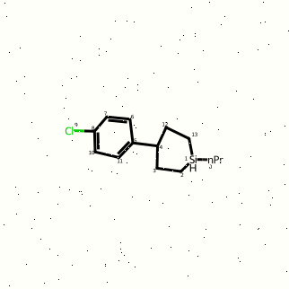 CCC[SiH]1CCC(c2ccc(Cl)cc2)CC1